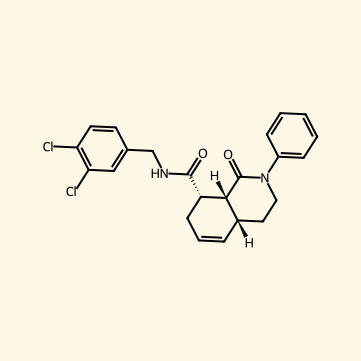 O=C(NCc1ccc(Cl)c(Cl)c1)[C@H]1CC=C[C@H]2CCN(c3ccccc3)C(=O)[C@@H]12